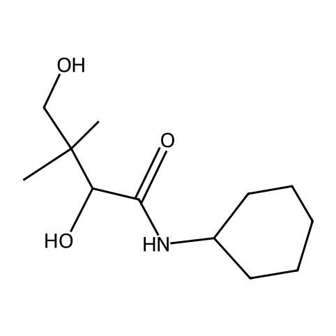 CC(C)(CO)C(O)C(=O)NC1CCCCC1